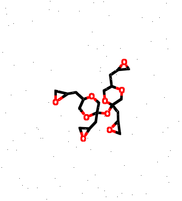 C1OC1CC1COC(CC2CO2)(OC2(CC3CO3)COC(CC3CO3)CO2)CO1